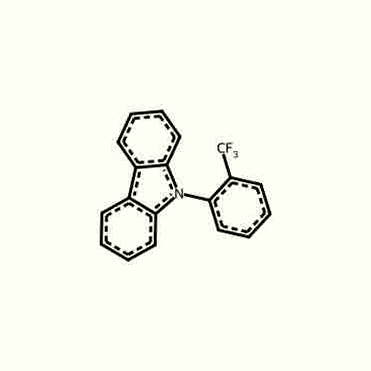 FC(F)(F)c1ccccc1-n1c2ccccc2c2ccccc21